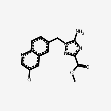 COC(=O)c1nc(N)n(Cc2ccc3ncc(Cl)cc3c2)n1